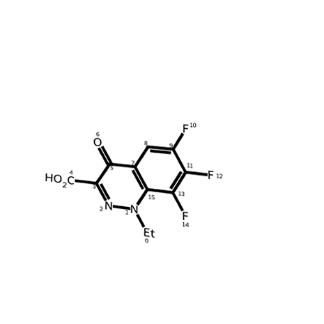 CCn1nc(C(=O)O)c(=O)c2cc(F)c(F)c(F)c21